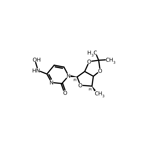 C[C@H]1O[C@@H](n2ccc(NO)nc2=O)C2OC(C)(C)OC21